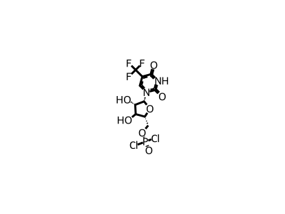 O=c1[nH]c(=O)n([C@@H]2O[C@H](COP(=O)(Cl)Cl)C(O)[C@@H]2O)cc1C(F)(F)F